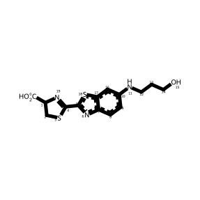 O=C(O)C1CSC(c2nc3ccc(NCCCO)cc3s2)=N1